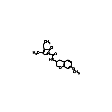 CCC1=C(C)CN(C(=O)NC2COc3cc(OC)ccc3C2)C1=O